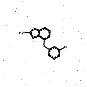 Nc1nc2c(Oc3cncc(Br)c3)cccc2s1